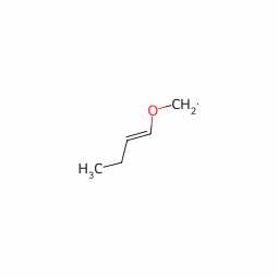 [CH2]O/C=C/CC